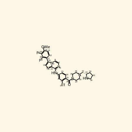 CCc1cc(Nc2nccn3c(-c4ccc(OC)c(F)c4F)cnc23)ccc1C(=O)N1CCN(C[C@@H]2CCCN2)CC1